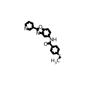 CSc1ccc(C(=O)Nc2ccc3oc(-c4cccnc4)nc3c2)cc1